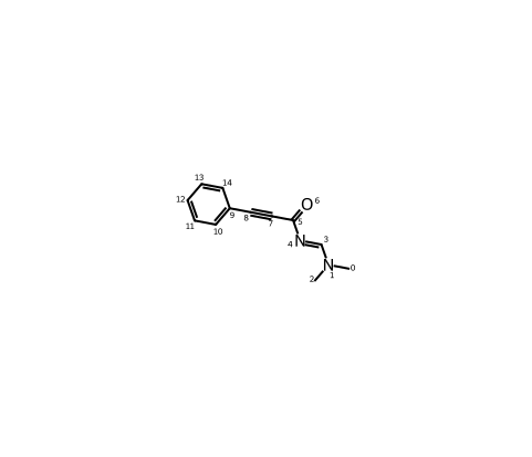 CN(C)C=NC(=O)C#Cc1ccccc1